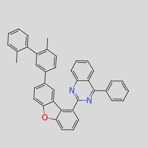 Cc1ccccc1-c1cc(-c2ccc3oc4cccc(-c5nc(-c6ccccc6)c6ccccc6n5)c4c3c2)ccc1C